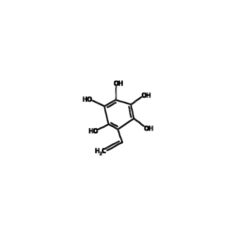 C=Cc1c(O)c(O)c(O)c(O)c1O